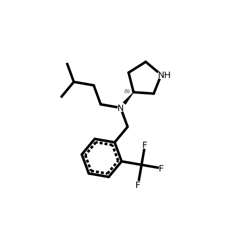 CC(C)CCN(Cc1ccccc1C(F)(F)F)[C@H]1CCNC1